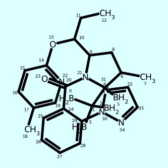 BC(B)(B)C1(B)C(C)CC(C(CC)Oc2ccc(C)cn2)N1C(=O)c1ccccc1-n1nccn1